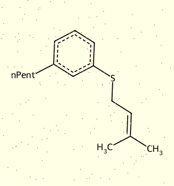 CCCCCc1cccc(SCC=C(C)C)c1